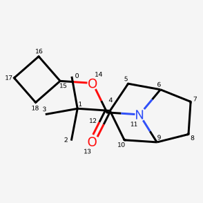 CC(C)(C)C1CC2CCC(C1)N2C(=O)OC1CCC1